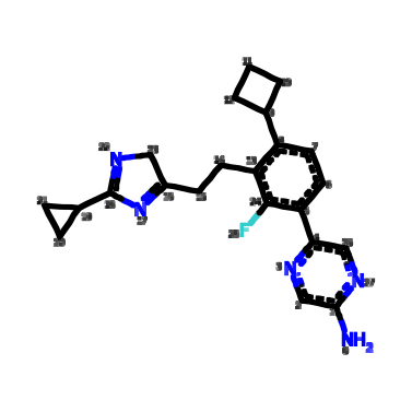 Nc1cnc(-c2ccc(C3CCC3)c(CCC3=NC(C4CC4)=NC3)c2F)cn1